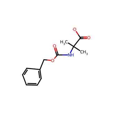 CC(C)(NC(=O)OCc1ccccc1)C([O])=O